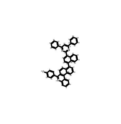 Fc1ccc(-c2nc3ccccc3c3c2ccc2c(-c4ccc(-c5nc(-c6ccccc6)cc(-c6ccccc6)n5)c5ccccc45)cccc23)cc1